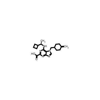 C=C1CCC(Cn2cnc3nc(C(=O)O)nc(N[C@H](C)C4CCC4)c32)CC1